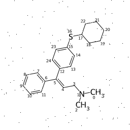 CN(C)CC=C(c1ccccc1)c1ccc(SC2CCCCC2)cc1